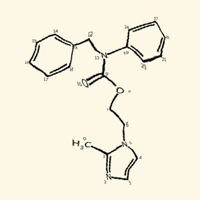 Cc1nccn1CCOC(=O)N(Cc1ccccc1)c1ccccc1